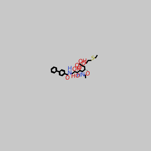 CCSCCCO[C@]1(C(=O)O)C[C@H](C)[C@@H](NC(C)=O)[C@H]([C@H](O)[C@H](O)CNC(=O)c2ccc(-c3ccccc3)cc2)O1